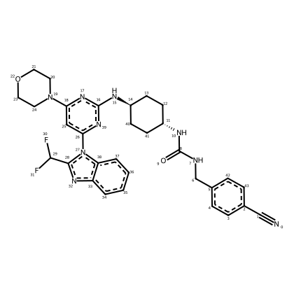 N#Cc1ccc(CNC(=O)N[C@H]2CC[C@H](Nc3nc(N4CCOCC4)cc(-n4c(C(F)F)nc5ccccc54)n3)CC2)cc1